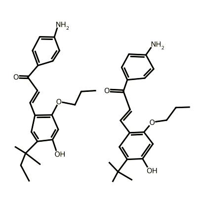 CCCOc1cc(O)c(C(C)(C)C)cc1C=CC(=O)c1ccc(N)cc1.CCCOc1cc(O)c(C(C)(C)CC)cc1C=CC(=O)c1ccc(N)cc1